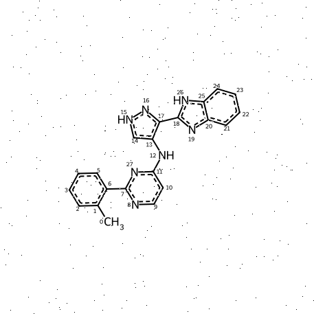 Cc1ccccc1-c1nccc(Nc2c[nH]nc2-c2nc3ccccc3[nH]2)n1